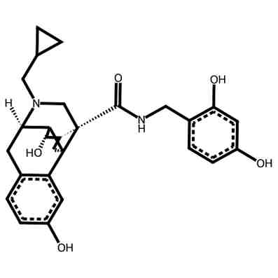 O=C(NCc1ccc(O)cc1O)[C@@H]1C[C@]23CCN(CC4CC4)[C@H](Cc4ccc(O)cc42)[C@]3(O)C1